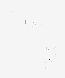 CC(=O)N[C@@H](CCCc1cccc2c1CN(C1CCC(=O)NC1=O)C2=O)C(=O)/N=C/C1CCCc2ccccc21